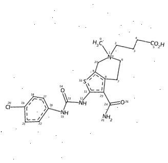 C[N+]1(CCCC(=O)O)CCc2c(sc(NC(=O)Nc3ccc(Cl)cc3)c2C(N)=O)C1